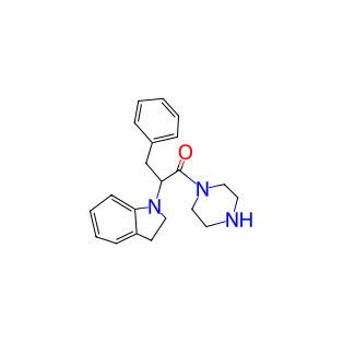 O=C(C(Cc1ccccc1)N1CCc2ccccc21)N1CCNCC1